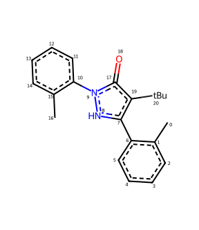 Cc1ccccc1-c1[nH]n(-c2ccccc2C)c(=O)c1C(C)(C)C